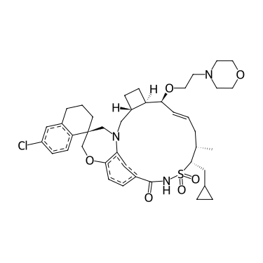 C[C@H]1C/C=C/[C@H](OCCN2CCOCC2)[C@@H]2CC[C@H]2CN2C[C@@]3(CCCc4cc(Cl)ccc43)COc3ccc(cc32)C(=O)NS(=O)(=O)[C@H]1CC1CC1